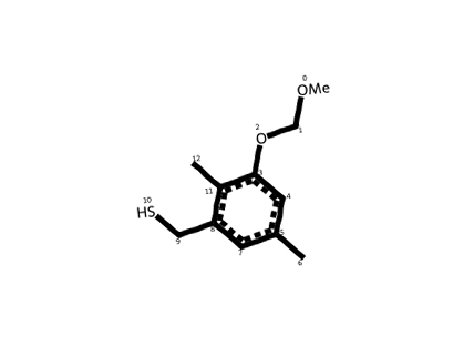 COCOc1cc(C)cc(CS)c1C